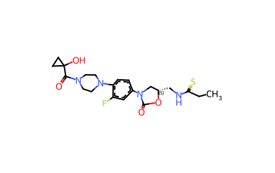 CCC(=S)NC[C@H]1CN(c2ccc(N3CCN(C(=O)C4(O)CC4)CC3)c(F)c2)C(=O)O1